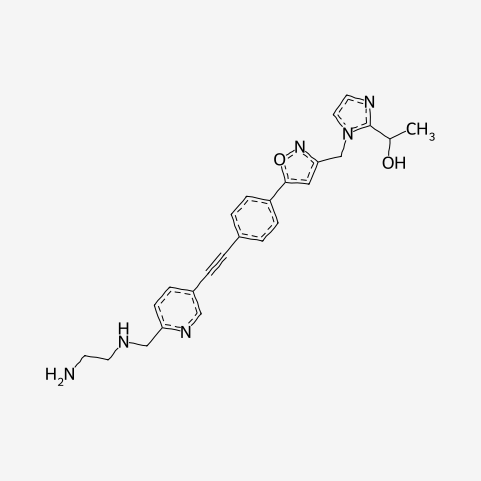 CC(O)c1nccn1Cc1cc(-c2ccc(C#Cc3ccc(CNCCN)nc3)cc2)on1